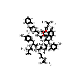 CC(C)[C@H](N)C(=O)N[C@@H](Cc1ccc(O)cc1)C(=O)N[C@@H](CCCNC(=N)N)C(=O)N[C@@H](Cc1ccc(O)cc1)C(=O)N[C@H](Cc1ccc(O)cc1)C(=O)N[C@@H](CCCNC(=N)N)C(=O)N[C@@H](Cc1c[nH]cn1)C(=O)N[C@@H](Cc1ccccc1)C(N)=O